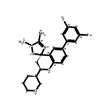 CN1O[C@@]2(C[C@H]([C@@H]3CCCOC3)Oc3ccc(-c4cc(F)cc(F)c4)cc32)N=C1N